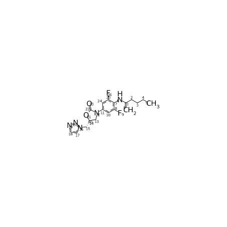 C=C(CCCC)Nc1c(F)cc(N2C[C@H](Cn3ccnn3)OC2=O)cc1F